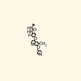 Cc1cc2c(Oc3ccc(NC(=O)NC4CC4)c(F)c3)ccnc2cc1OCc1ccncc1